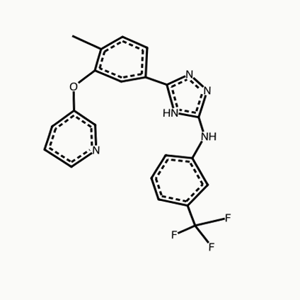 Cc1ccc(-c2nnc(Nc3cccc(C(F)(F)F)c3)[nH]2)cc1Oc1cccnc1